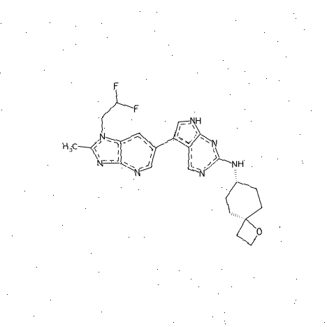 Cc1nc2ncc(-c3c[nH]c4nc(N[C@H]5CC[C@]6(CCO6)CC5)ncc34)cc2n1CC(F)F